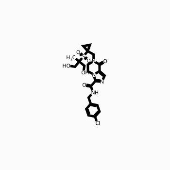 CC(CO)(CO)S(=O)(=O)C1(CN2CCn3c(cnc3C(=O)NCc3ccc(Cl)cc3)C2=O)CC1